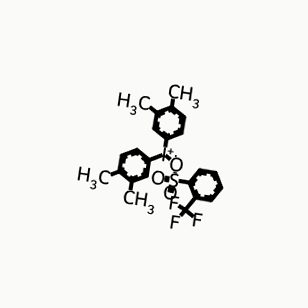 Cc1ccc([I+](OS(=O)(=O)c2ccccc2C(F)(F)F)c2ccc(C)c(C)c2)cc1C